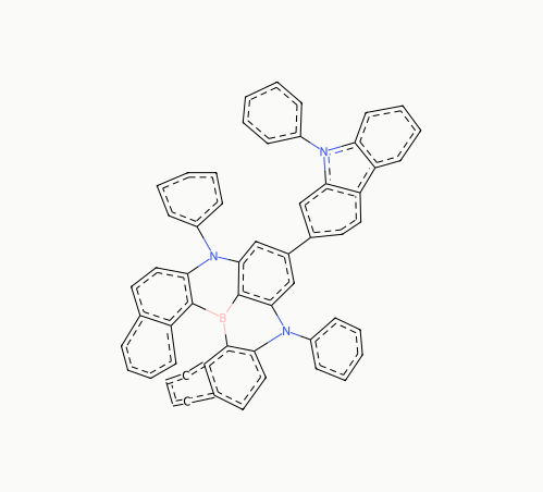 c1ccc(N2c3cc(-c4ccc5c6ccccc6n(-c6ccccc6)c5c4)cc4c3B(c3c2ccc2ccccc32)c2c(ccc3ccccc23)N4c2ccccc2)cc1